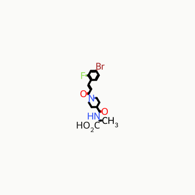 CC(NC(=O)C1CCN(C(=O)/C=C/c2ccc(Br)cc2F)CC1)C(=O)O